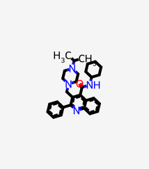 CC(C)N1CCN(Cc2c(-c3ccccc3)nc3ccccc3c2C(=O)NC2CCCCC2)CC1